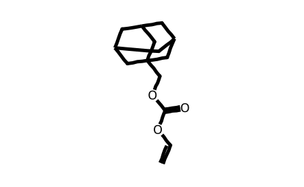 C=COC(=O)OCC12CC3CC(CC(C3)C1)C2